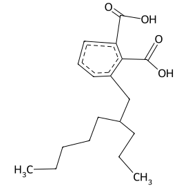 CCCCCC(CCC)Cc1cccc(C(=O)O)c1C(=O)O